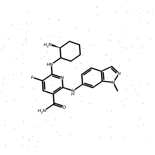 Cn1ncc2ccc(Nc3nc(NC4CCCC[C@@H]4N)c(F)cc3C(N)=O)cc21